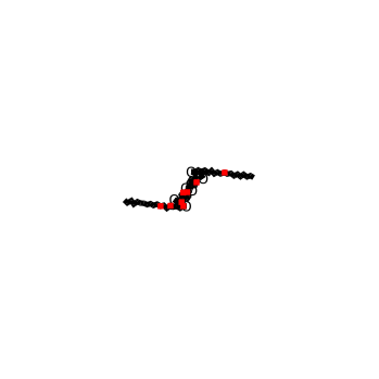 CCCCCCCCCCCCCCC=CC1CC(=O)N(c2ccc(S(=O)(=O)c3ccc(N4C(=O)CC(C=CCCCCCCCCCCCCCC)C4=O)cc3)cc2)C1=O